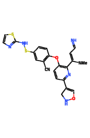 CN/C(=C\C=N)c1nc(C2=CONC2)ccc1Oc1ccc(SNc2nccs2)cc1C#N